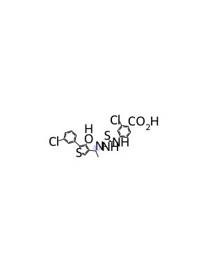 C/C(=N\NC(=S)Nc1ccc(C(=O)O)c(Cl)c1)c1csc(-c2cccc(Cl)c2)c1O